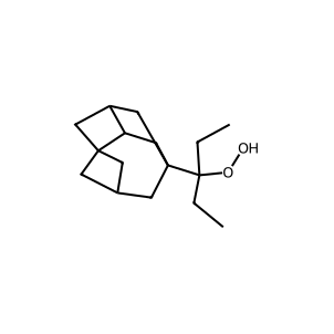 CCC(CC)(OO)C12CC3CC4(C3)CC(C1)C4C2